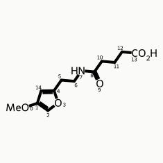 COc1coc(CCNC(=O)CCCC(=O)O)c1